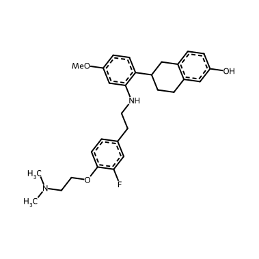 COc1ccc(C2CCc3cc(O)ccc3C2)c(NCCc2ccc(OCCN(C)C)c(F)c2)c1